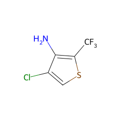 Nc1c(Cl)csc1C(F)(F)F